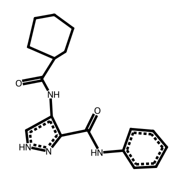 O=C(Nc1ccccc1)c1n[nH]cc1NC(=O)C1CCCCC1